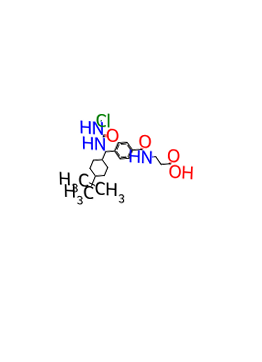 CC(C)(C)C1CCC(C(NC(=O)NCl)c2ccc(C(=O)NCCC(=O)O)cc2)CC1